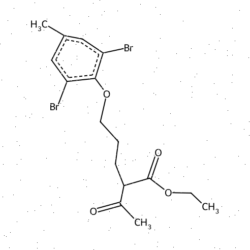 CCOC(=O)C(CCCOc1c(Br)cc(C)cc1Br)C(C)=O